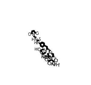 C[C@@H](CN(CC(=O)O)C[C@H](Cc1ccc(NC(=S)NCCN2C(=O)C=CC2=O)cc1)N(CC(=O)O)CC(=O)O)NC(C(=O)O)C(=O)O